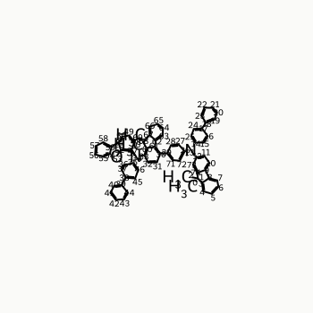 CC1(C)c2ccccc2-c2ccc(N(c3ccc(-c4ccccc4)cc3)c3ccc(-c4ccc(N(c5ccc(-c6ccccc6)cc5)c5cccc6c5oc5ccccc56)c5c4-c4ccccc4C5(C)C)cc3)cc21